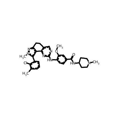 COc1cc(C(=O)NC2CCN(C)CC2)ccc1Nc1ncc2c(n1)-c1c(nn(C)c1-c1cccc(C)c1Cl)CC2